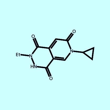 CCn1[nH]c(=O)c2cn(C3CC3)c(=O)cc2c1=O